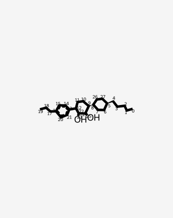 CCCCC[C@H]1CC[C@H](C2CCC(c3ccc(CCC)cc3)C(O)C2O)CC1